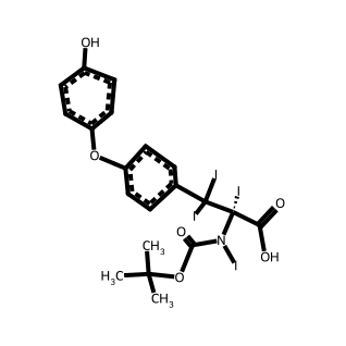 CC(C)(C)OC(=O)N(I)[C@](I)(C(=O)O)C(I)(I)c1ccc(Oc2ccc(O)cc2)cc1